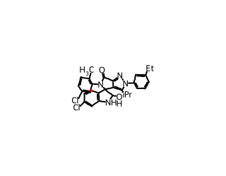 CCc1cccc(-n2nc3c(c2C(C)C)C2(c4ccc(Cl)cc4NC2O)N(c2cc(Cl)ccc2C)C3=O)c1